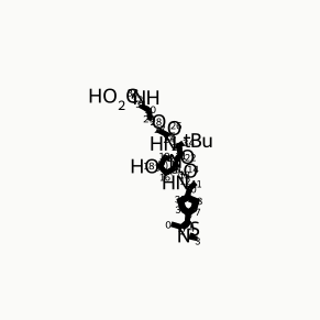 Cc1ncsc1-c1ccc(C(C)NC(=O)[C@@H]2C[C@@H](O)CN2C(=O)C(NC(=O)COCCCNC(=O)O)C(C)(C)C)cc1